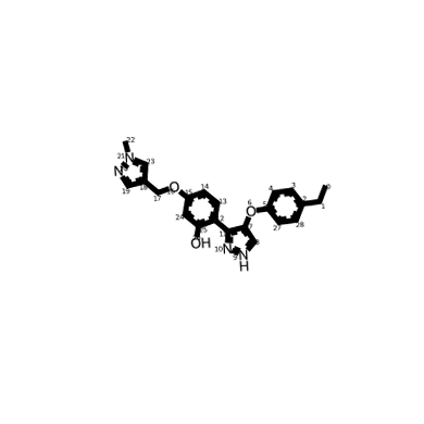 CCc1ccc(Oc2c[nH]nc2-c2ccc(OCc3cnn(C)c3)cc2O)cc1